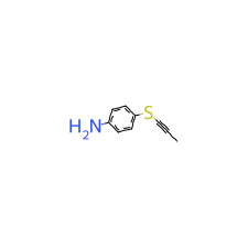 CC#CSc1ccc(N)cc1